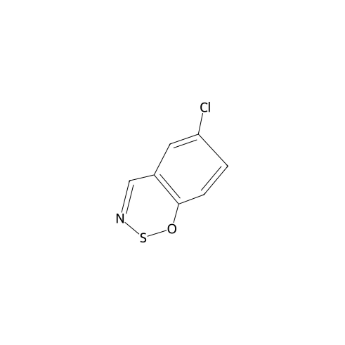 Clc1ccc2c(c1)C=NSO2